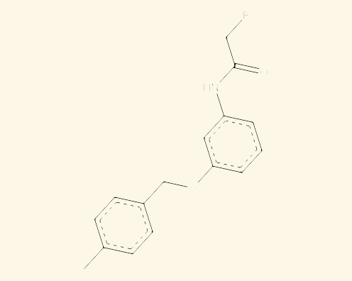 Cc1ccc(COc2cccc(NC(=O)CBr)c2)cc1